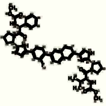 COC(=O)N[C@H](C(=O)N1CCC[C@H]1c1nc(-c2ccc3cc(-c4ccc(-c5cnc([C@@H]6CCCN6C(=O)[C@H](NC(=O)OC)c6ccccc6)[nH]5)cc4F)ccc3c2)c[nH]1)C(C)C